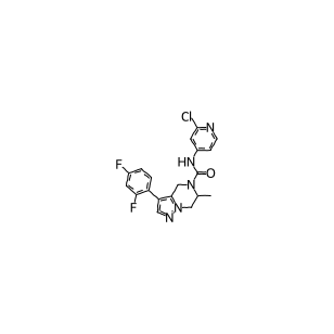 CC1Cn2ncc(-c3ccc(F)cc3F)c2CN1C(=O)Nc1ccnc(Cl)c1